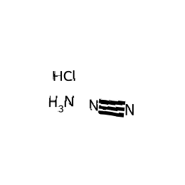 Cl.N.N#N